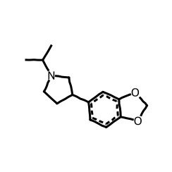 CC(C)N1CCC(c2ccc3c(c2)OCO3)C1